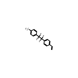 C=Cc1ccc(C(F)(F)C(F)(F)c2ccc(C(F)(F)F)cc2)cc1